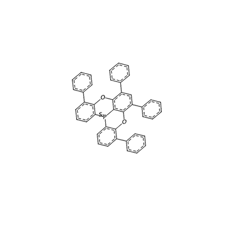 S=P12c3cccc(-c4ccccc4)c3Oc3c(-c4ccccc4)cc(-c4ccccc4)c(c31)Oc1c(-c3ccccc3)cccc12